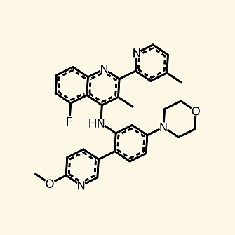 COc1ccc(-c2ccc(N3CCOCC3)cc2Nc2c(C)c(-c3cc(C)ccn3)nc3cccc(F)c23)cn1